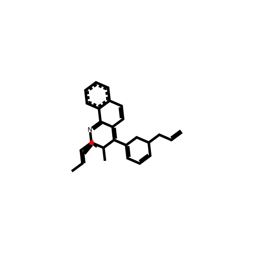 C=CCC1C=CC=C(/C(=C2\C=Cc3ccccc3\C2=N\C(C)/C=C/C)C(C)C=C)C1